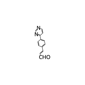 O=CC=Cc1ccc(-c2ccncn2)cc1